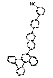 N#Cc1cccc(-c2ccc(-c3ccc4cc(-c5cc6c7ccccc7c7ccccc7c6c6ccccc56)ccc4c3)cc2)c1